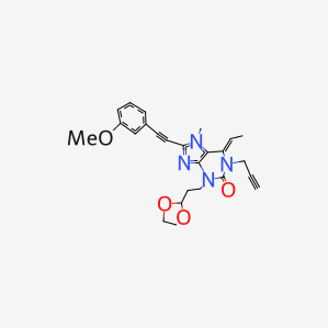 C#CCN1C(=O)N(CCC2OCCO2)c2nc(C#Cc3cccc(OC)c3)n(C)c2C1=CC